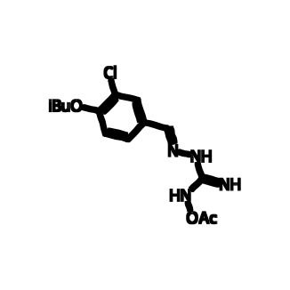 CC(=O)ONC(=N)NN=Cc1ccc(OCC(C)C)c(Cl)c1